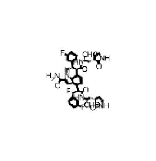 NC(=O)c1cc2c(C(C(=O)N[C@H](C=O)C[C@@H]3CCNC3=O)[C@H](F)c3cccc(F)c3)ccc(C(C(=O)N[C@H](C=O)C[C@@H]3CCNC3=O)[C@H](F)c3cccc(F)c3)c2[nH]1